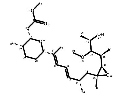 COC(=O)C[C@@H]1O[C@H](/C(C)=C/C=C/[C@@H](C)C[C@@]2(C)O[C@@H]2[C@H](C)C(OC)[C@@H](C)O)CC[C@@H]1C